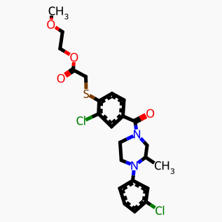 COCCOC(=O)CSc1ccc(C(=O)N2CCN(c3cccc(Cl)c3)C(C)C2)cc1Cl